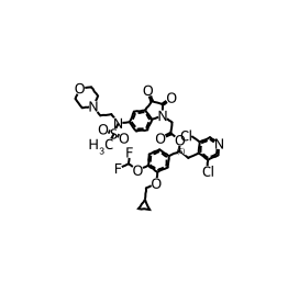 CS(=O)(=O)N(CCN1CCOCC1)c1ccc2c(c1)C(=O)C(=O)N2CC(=O)O[C@@H](Cc1c(Cl)cncc1Cl)c1ccc(OC(F)F)c(OCC2CC2)c1